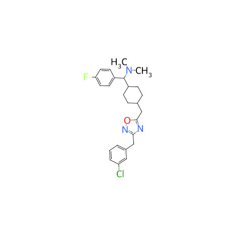 CN(C)C(c1ccc(F)cc1)C1CCC(Cc2nc(Cc3cccc(Cl)c3)no2)CC1